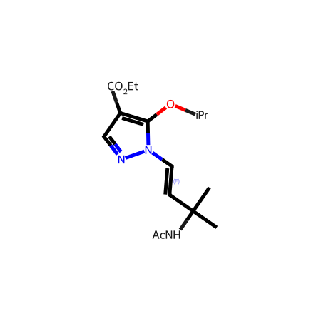 CCOC(=O)c1cnn(/C=C/C(C)(C)NC(C)=O)c1OC(C)C